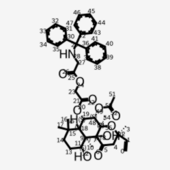 C=C[C@@]1(C)CC(=O)[C@]2(O)[C@@]3(C)[C@@H](O)CCC(C)(C)[C@@H]3[C@H](OC(=O)COC(=O)CNC(c3ccccc3)(c3ccccc3)c3ccccc3)[C@H](OC(C)=O)[C@@]2(C)O1